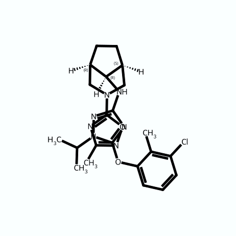 Cc1noc(N2C[C@H]3CC[C@@H](C2)[C@H]3Nc2nc(Oc3cccc(Cl)c3C)n(C(C)C)n2)n1